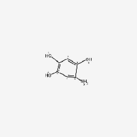 Nc1cc(O)c(O)cc1O